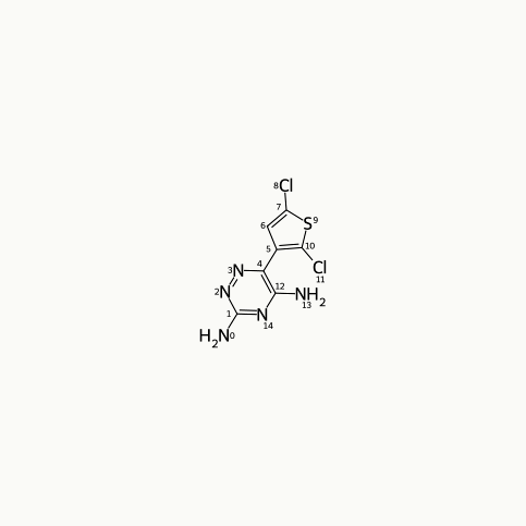 Nc1nnc(-c2cc(Cl)sc2Cl)c(N)n1